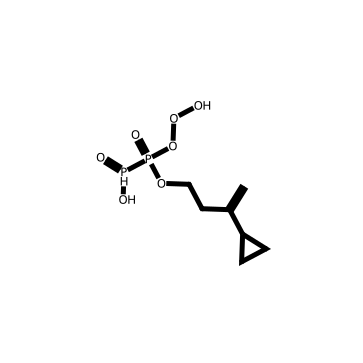 C=C(CCOP(=O)(OOO)[PH](=O)O)C1CC1